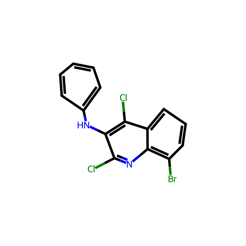 Clc1nc2c(Br)cccc2c(Cl)c1Nc1ccccc1